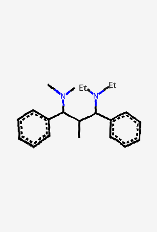 CCN(CC)C(c1ccccc1)C(C)C(c1ccccc1)N(C)C